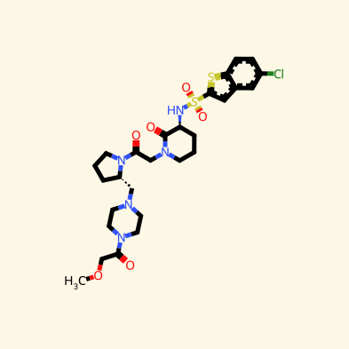 COCC(=O)N1CCN(C[C@@H]2CCCN2C(=O)CN2CCC[C@H](NS(=O)(=O)c3cc4cc(Cl)ccc4s3)C2=O)CC1